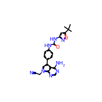 CC(C)(C)c1cc(NC(=O)Nc2ccc(-c3cn(CC#N)c4ncnc(N)c34)cc2)no1